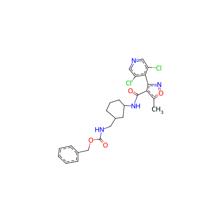 Cc1onc(-c2c(Cl)cncc2Cl)c1C(=O)NC1CCCC(CNC(=O)OCc2ccccc2)C1